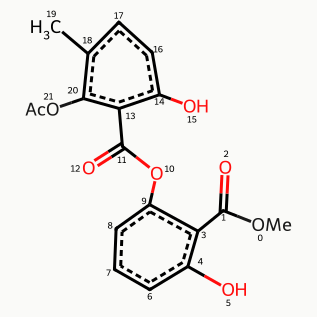 COC(=O)c1c(O)cccc1OC(=O)c1c(O)ccc(C)c1OC(C)=O